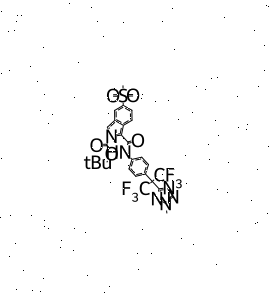 Cn1nnc(C(c2ccc(NC(=O)c3c4ccc(S(C)(=O)=O)cc4cn3C(=O)OC(C)(C)C)cc2)(C(F)(F)F)C(F)(F)F)n1